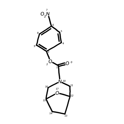 O=C(Oc1ccc([N+](=O)[O-])cc1)N1CC2CCC(C1)O2